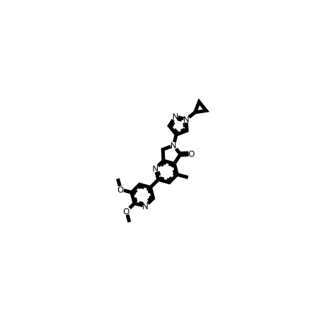 COc1cc(-c2cc(C)c3c(n2)CN(c2cnn(C4CC4)c2)C3=O)cnc1OC